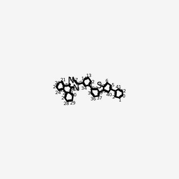 c1ccc(-c2ccc3sc4c(-c5cccc(-c6cnc7c8ccccc8c8ccccc8c7n6)c5)cccc4c3c2)cc1